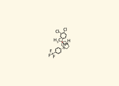 CC1C[C@H]2CC[C@@](c3ccc(C(F)(F)F)cc3)(C1)N2Cc1ccc(Cl)c(Cl)c1